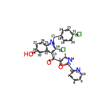 O=C(c1cnc(-c2ccccn2)o1)c1c(Cl)n(Cc2ccc(Cl)cc2)c2ccc(O)cc12